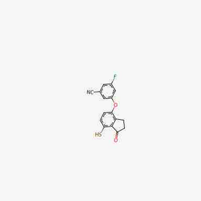 N#Cc1cc(F)cc(Oc2ccc(S)c3c2CCC3=O)c1